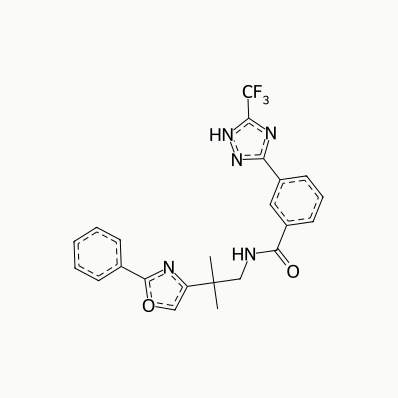 CC(C)(CNC(=O)c1cccc(-c2n[nH]c(C(F)(F)F)n2)c1)c1coc(-c2ccccc2)n1